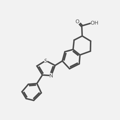 O=C(O)C1CCc2ccc(-c3nc(-c4ccccc4)cs3)cc2C1